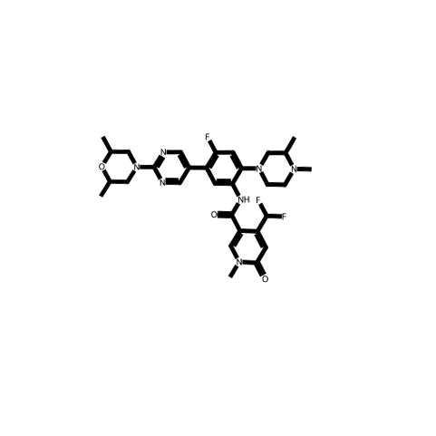 CC1CN(c2ncc(-c3cc(NC(=O)c4cn(C)c(=O)cc4C(F)F)c(N4CCN(C)C(C)C4)cc3F)cn2)CC(C)O1